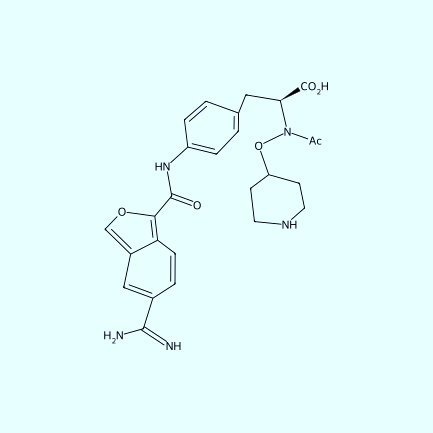 CC(=O)N(OC1CCNCC1)[C@@H](Cc1ccc(NC(=O)c2occ3cc(C(=N)N)ccc23)cc1)C(=O)O